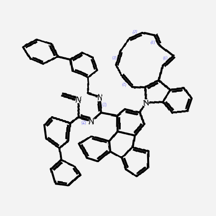 C=N/C(=N\C(=N/Cc1cccc(-c2ccccc2)c1)c1cc(-n2c3c(c4ccccc42)/C=C/C=C/C=C\C=C/C=C\3)cc2c3ccccc3c3ccccc3c12)c1cccc(-c2ccccc2)c1